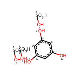 O=S(=O)(O)O.O=S(=O)(O)O.O=S(=O)(O)O.Oc1cc(O)cc(O)c1